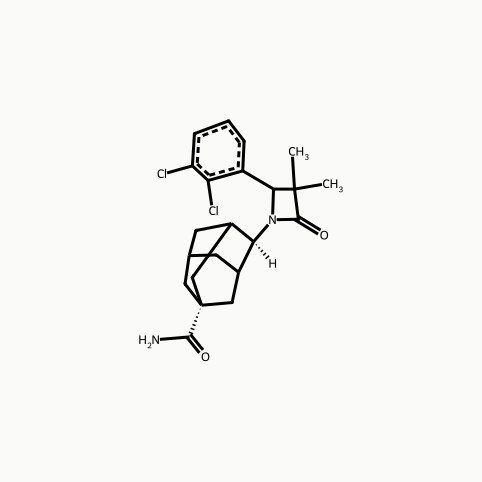 CC1(C)C(=O)N([C@H]2C3CC4CC2C[C@](C(N)=O)(C4)C3)C1c1cccc(Cl)c1Cl